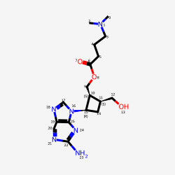 CN(C)CCCC(=O)OC[C@H]1[C@@H](CO)C[C@H]1n1cnc2cnc(N)nc21